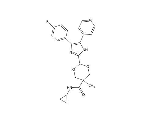 CC1(C(=O)NC2CC2)COC(c2nc(-c3ccc(F)cc3)c(-c3ccncc3)[nH]2)OC1